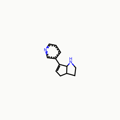 C1=C(c2cccnc2)C2NCCC2C1